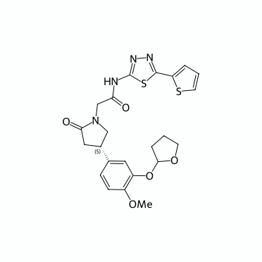 COc1ccc([C@@H]2CC(=O)N(CC(=O)Nc3nnc(-c4cccs4)s3)C2)cc1OC1CCCO1